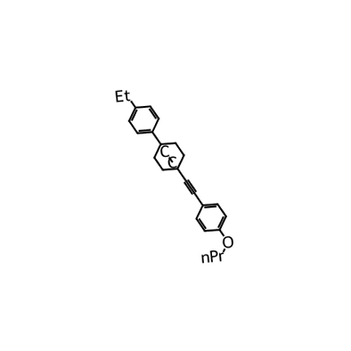 CCCOc1ccc(C#CC23CCC(c4ccc(CC)cc4)(CC2)CC3)cc1